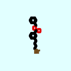 O=C(OCc1ccccc1)c1cccc(CCCCBr)c1